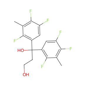 Cc1c(F)c(F)cc(C(O)(CCO)c2cc(F)c(F)c(C)c2F)c1F